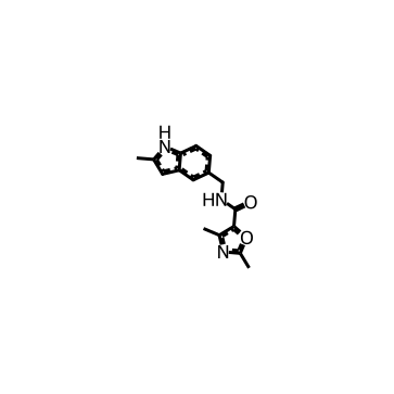 Cc1cc2cc(CNC(=O)c3oc(C)nc3C)ccc2[nH]1